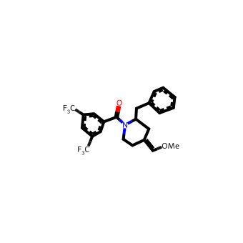 CO/C=C1/CCN(C(=O)c2cc(C(F)(F)F)cc(C(F)(F)F)c2)C(Cc2ccccc2)C1